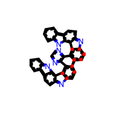 c1ccc(-c2ccc3c(c2-c2nccnc2-c2c(-c4ccccc4)ccc4c2-c2c5c(ccc2=N4)=c2ccccc2=N5)-c2c4c(ccc2=N3)=c2ccccc2=N4)cc1